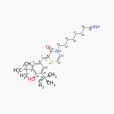 CC(C)(C)c1cc(/C=C2\SC=CN(CCCCCCCC#N)C2=O)cc(C(C)(C)C)c1O